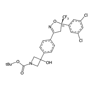 CC(C)(C)OC(=O)N1CC(O)(c2ccc(C3=NO[C@@](c4cc(Cl)cc(Cl)c4)(C(F)(F)F)C3)cc2)C1